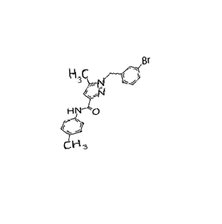 Cc1ccc(NC(=O)c2cc(C)n(Cc3cccc(Br)c3)n2)cc1